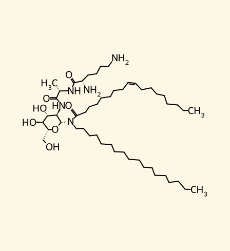 CCCCCCCC/C=C\CCCCCCCC(=O)N(CCCCCCCCCCCCCCCCCC)[C@@H]1O[C@H](CO)[C@@H](O)[C@H](O)[C@H]1NC(=O)[C@H](C)NC(=O)[C@@H](N)CCCCN